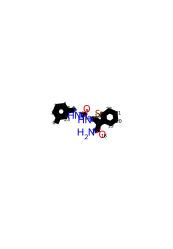 Cc1cccc(CNC(=O)Nc2sc3c(c2C(N)=O)CCCC3)c1